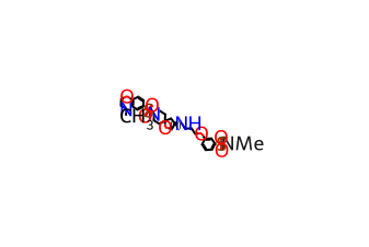 CNS(=O)(=O)c1cccc(OCCCN[C@H]2COC3(CCN(S(=O)(=O)c4ccc5c(c4)N(C)CCO5)CC3)C2)c1